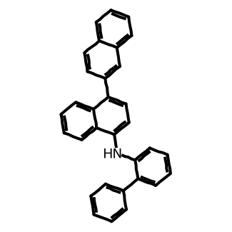 c1ccc(-c2ccccc2Nc2ccc(-c3ccc4ccccc4c3)c3ccccc23)cc1